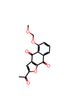 COCOc1cccc2c1C(=O)c1cc(C(C)=O)oc1C2=O